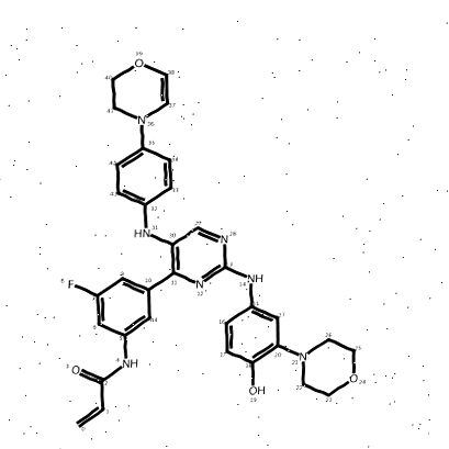 C=CC(=O)Nc1cc(F)cc(-c2nc(Nc3ccc(O)c(N4CCOCC4)c3)ncc2Nc2ccc(N3C=COCC3)cc2)c1